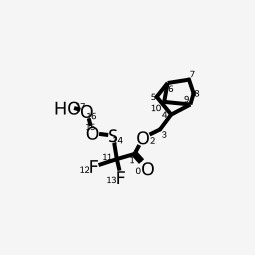 O=C(OCC1CC2CCC1C2)C(F)(F)SOOO